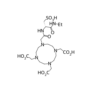 CCNC(=O)[C@@H](CS(=O)(=O)O)NC(=O)CN1CCN(CC(=O)O)CCN(CC(=O)O)CCN(CC(=O)O)CC1